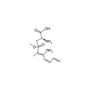 C=C/C=C\C(N)=C(/C)P(=O)(C[C@H](N)C(=O)O)OC